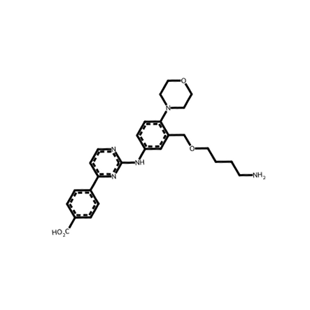 NCCCCOCc1cc(Nc2nccc(-c3ccc(C(=O)O)cc3)n2)ccc1N1CCOCC1